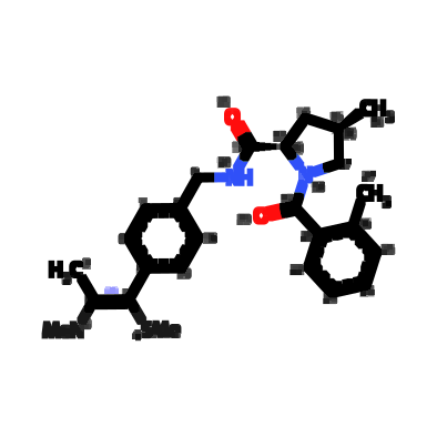 CN/C(C)=C(\SC)c1ccc(CNC(=O)[C@@H]2C[C@@H](C)CN2C(=O)c2ccccc2C)cc1